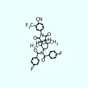 CC12C[C@@H](N(C(=O)c3ccc(F)cc3)C(=O)c3ccc(F)cc3)C(C)(O1)[C@@H]1C(=O)N(c3ccc(C#N)c(C(F)(F)F)c3)C(=O)[C@@H]12